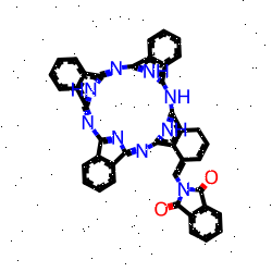 O=C1c2ccccc2C(=O)N1C=C1C=CCc2c3[nH]c(c21)N=C1N=C(N=c2[nH]/c(c4ccccc24)=N\c2[nH]c(c4ccccc24)N3)c2ccccc21